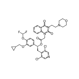 O=C(Cn1c(=O)n(CCN2CCOCC2)c(=O)c2ccccc21)O[C@@H](Cc1c(Cl)cncc1Cl)c1ccc(OC(F)F)c(OCC2CC2)c1